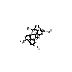 Cc1cccc(-c2nc3nc(C(=O)O)nc(N(C)CC(C)C)c3n2Cc2ccc(C(F)(F)F)cc2)c1